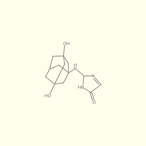 O=C1C=NC(NC23CC4CC(O)(CC(O)(C4)C2)C3)N1